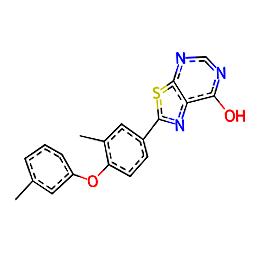 Cc1cccc(Oc2ccc(-c3nc4c(O)ncnc4s3)cc2C)c1